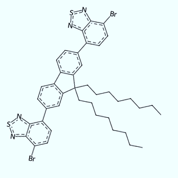 CCCCCCCCC1(CCCCCCCC)c2cc(-c3ccc(Br)c4nsnc34)ccc2-c2ccc(-c3ccc(Br)c4nsnc34)cc21